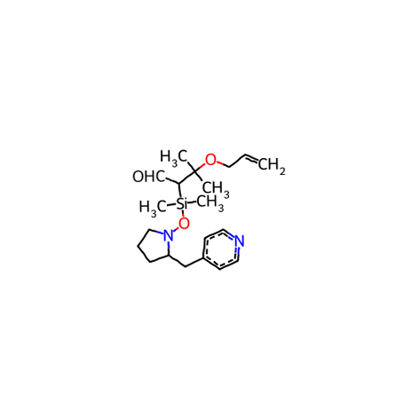 C=CCOC(C)(C)C(C=O)[Si](C)(C)ON1CCCC1Cc1ccncc1